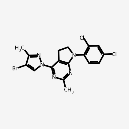 Cc1nc2c(c(-n3cc(Br)c(C)n3)n1)CCN2c1ccc(Cl)cc1Cl